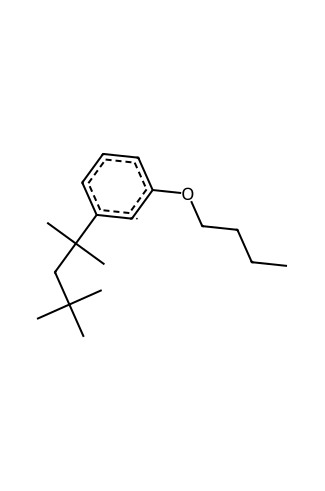 CCCCOc1[c]c(C(C)(C)CC(C)(C)C)ccc1